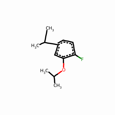 CC(C)Oc1cc(C(C)C)ccc1F